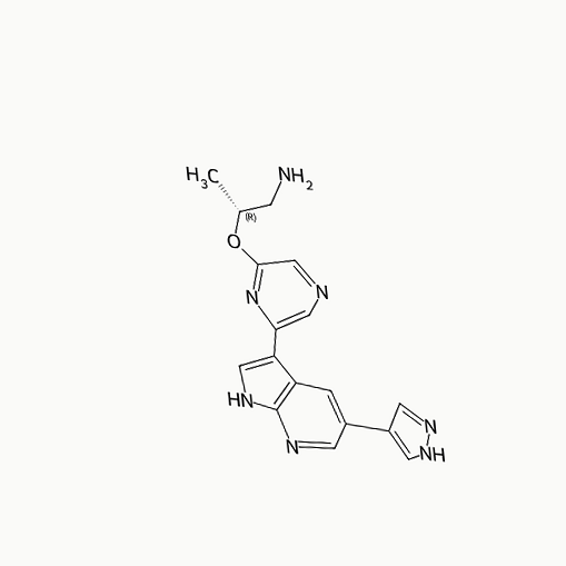 C[C@H](CN)Oc1cncc(-c2c[nH]c3ncc(-c4cn[nH]c4)cc23)n1